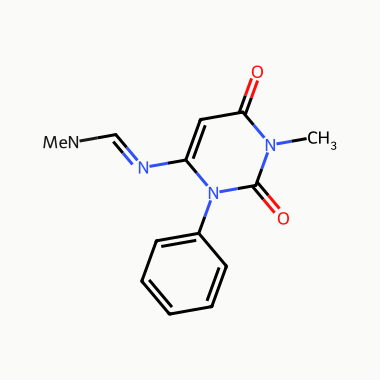 CN/C=N/c1cc(=O)n(C)c(=O)n1-c1ccccc1